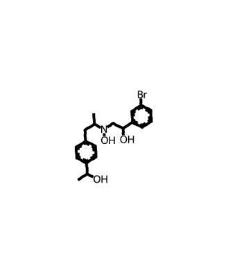 CC(O)c1ccc(CC(C)N(O)CC(O)c2cccc(Br)c2)cc1